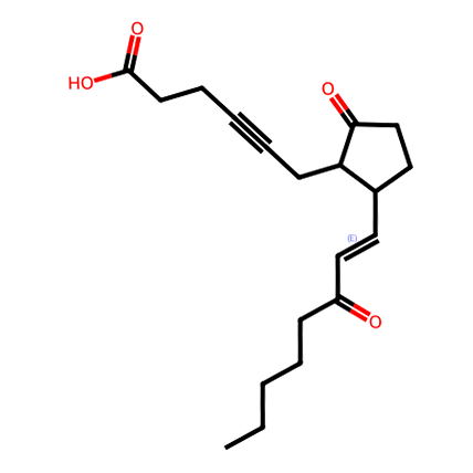 CCCCCC(=O)/C=C/C1CCC(=O)C1CC#CCCC(=O)O